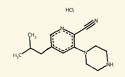 CC(C)Cc1cnc(C#N)c(N2CCNCC2)c1.Cl